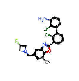 N#Cc1cc(CN2CC(F)C2)cc2nc(-c3cccc(-c4cccc(N)c4Cl)c3Cl)oc12